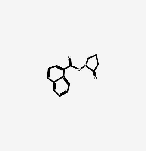 O=C(ON1CCCC1=O)c1cccc2ccccc12